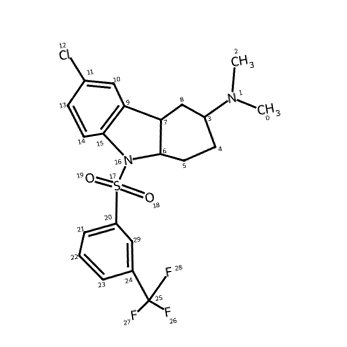 CN(C)C1CCC2C(C1)c1cc(Cl)ccc1N2S(=O)(=O)c1cccc(C(F)(F)F)c1